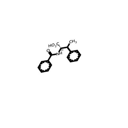 CC(c1ccccc1)[C@H](NC(=O)c1ccccc1)C(=O)O